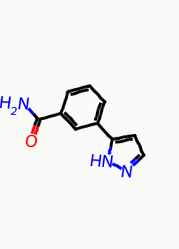 NC(=O)c1cccc(-c2ccn[nH]2)c1